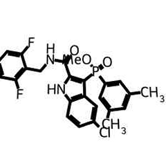 COP(=O)(c1cc(C)cc(C)c1)c1c(C(=O)NCc2c(F)cccc2F)[nH]c2ccc(Cl)cc12